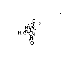 CCOC(=O)C(=O)c1cnc(N2CCOCC2)cc1NC